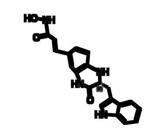 O=C(C=Cc1ccc2c(c1)NC(=O)[C@@H](Cc1c[nH]c3ccccc13)N2)NO